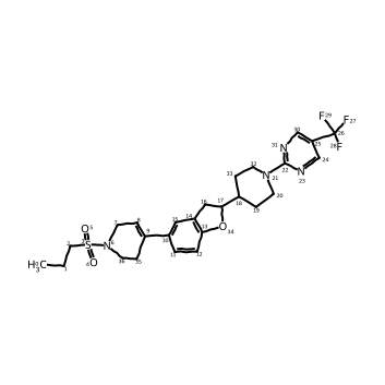 CCCS(=O)(=O)N1CC=C(c2ccc3c(c2)CC(C2CCN(c4ncc(C(F)(F)F)cn4)CC2)O3)CC1